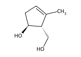 CC1=CC[C@H](O)[C@H]1CO